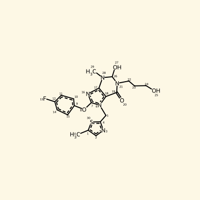 Cc1cnc(Cn2c(Oc3ccc(F)cc3)nc3c2C(=O)N(CCCO)C(O)N3C)s1